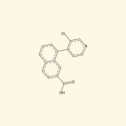 O=C(O)c1ccc2cccc(-c3ccncc3Cl)c2c1